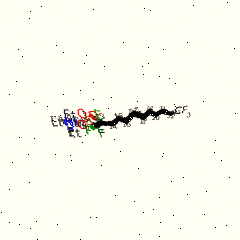 CC[N+](CC)(CC)CC.O=S(=O)([O-])C(F)(F)C(F)CCCCCCCCCC(F)(F)F